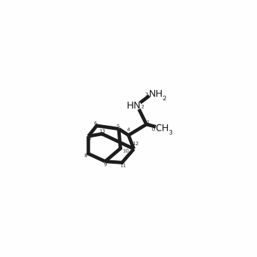 CC(NN)C1C2CC3CC(C2)CC1C3